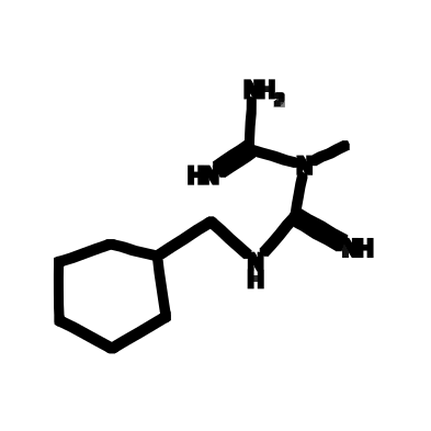 CN(C(=N)N)C(=N)NCC1CCCCC1